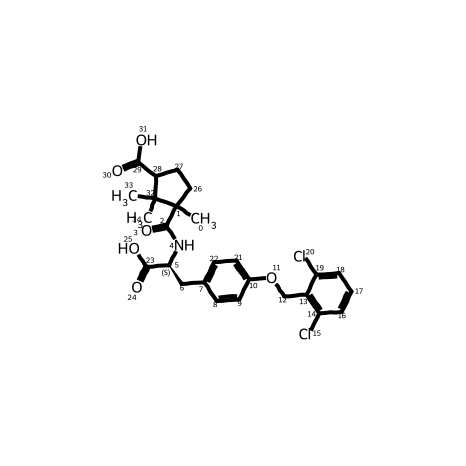 CC1(C(=O)N[C@@H](Cc2ccc(OCc3c(Cl)cccc3Cl)cc2)C(=O)O)CCC(C(=O)O)C1(C)C